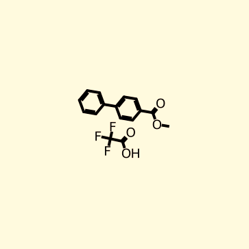 COC(=O)c1ccc(-c2ccccc2)cc1.O=C(O)C(F)(F)F